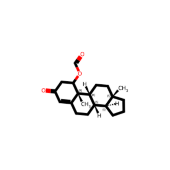 C[C@@]12CCC[C@H]1[C@@H]1CCC3=CC(=O)CC(OC=O)[C@]3(C)[C@@H]1CC2